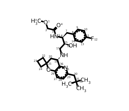 COCC(=O)N[C@@H](Cc1ccc(F)cc1)[C@@H](O)CN[C@H]1CC2(CCC2)Oc2ccc(CC(C)(C)C)nc21